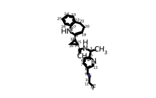 C=C(NC(C)c1ccc(/C=C/CF)cn1)[C@@H]1C[C@H]1C1=CCCc2ccccc2N1